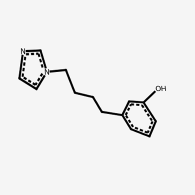 Oc1cccc(CCCCn2ccnc2)c1